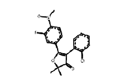 C[S+]([O-])c1ccc(C2=C(c3ccccc3Cl)C(=O)C(C)(C)O2)cc1F